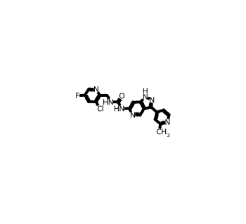 Cc1cc(-c2n[nH]c3cc(NC(=O)NCc4ncc(F)cc4Cl)ncc23)ccn1